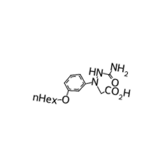 CCCCCCOc1cccc(N(CC(=O)O)NC(N)=O)c1